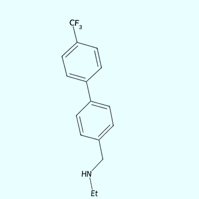 [CH2]CNCc1ccc(-c2ccc(C(F)(F)F)cc2)cc1